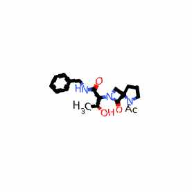 CC(=O)N1CCCC12CN(C(C(=O)NCc1ccccc1)C(C)O)C2=O